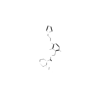 CC[C@@H]1CNCCN1C(=O)OCc1c(F)ccc(OCCn2cccc2)c1F